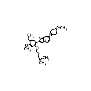 CCc1cc(-c2cn3ccc(N4CCN(SC)CC4)cc3n2)c(OCCCN(C)C)cc1OC